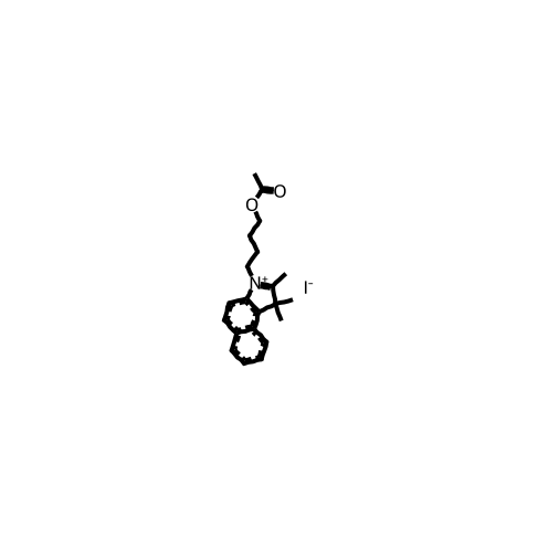 CC(=O)OCCCC[N+]1=C(C)C(C)(C)c2c1ccc1ccccc21.[I-]